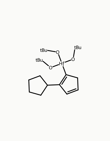 CC(C)(C)[O][Hf]([O]C(C)(C)C)([O]C(C)(C)C)[C]1=C(C2CCCC2)C=CC1